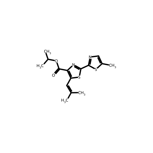 CC(C)=Cc1sc(-c2ncc(C)s2)nc1C(=O)OC(C)C